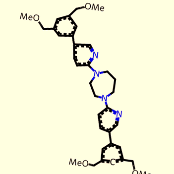 COCc1cc(COC)cc(-c2ccc(N3CCCN(c4ccc(-c5cc(COC)cc(COC)c5)cn4)CC3)nc2)c1